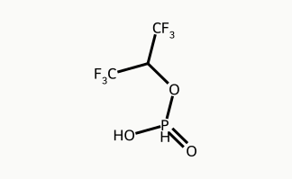 O=[PH](O)OC(C(F)(F)F)C(F)(F)F